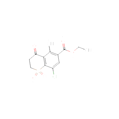 CCOC(=O)c1cc(Cl)c2c(c1C)C(=O)CCS2(=O)=O